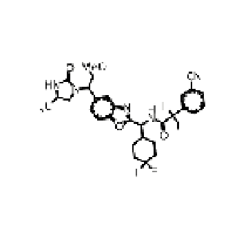 COCC(c1ccc2oc(C(NC(=O)C(F)(F)c3cccc(C#N)c3)C3CCC(F)(F)CC3)nc2c1)N1CC(C(F)(F)F)NC1=O